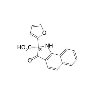 O=C(O)[C@]1(c2ccco2)Nc2c(ccc3ccccc23)C1=O